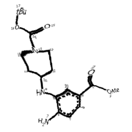 COC(=O)c1ccc(N)c(NC2CCN(C(=O)OC(C)(C)C)CC2)c1